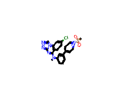 CN(c1cccc(C2=CCN(S(C)(=O)=O)CC2)c1)c1nc2nncn2c2cc(Cl)ccc12